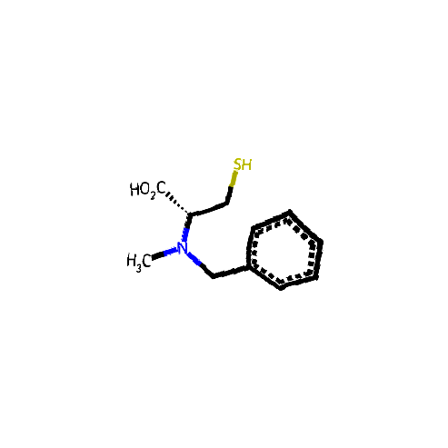 CN(Cc1ccccc1)[C@@H](CS)C(=O)O